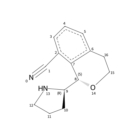 N#Cc1cccc2c1[C@@H]([C@H]1CCCN1)OCC2